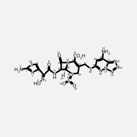 Nc1nc(C(=NO)C(=O)NC2C(=O)N3C(C(=O)O)=C(CSc4cc(N)c5nnnn5n4)CS(=S(=O)=O)[C@@H]23)cs1